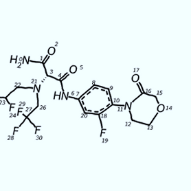 NC(=O)[C@H](C(=O)Nc1ccc(N2CCOCC2=O)c(F)c1)N(CC(F)F)CC(F)(F)F